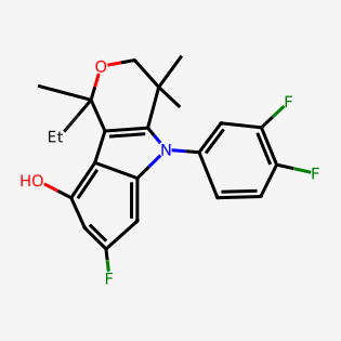 CCC1(C)OCC(C)(C)c2c1c1c(O)cc(F)cc1n2-c1ccc(F)c(F)c1